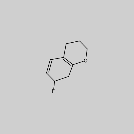 FC1C=CC2=C(C1)OCCC2